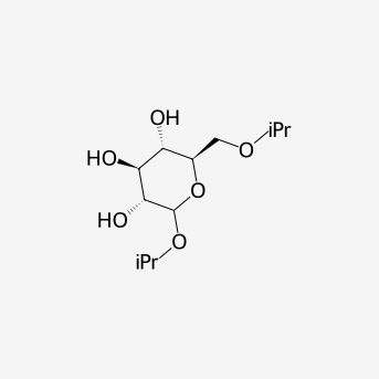 CC(C)OC[C@H]1OC(OC(C)C)[C@H](O)[C@@H](O)[C@@H]1O